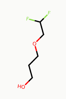 OCCCOCC(F)F